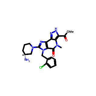 COC(=O)c1[nH]nc2c3nc(N4CCC[C@@H](N)C4)n(Cc4ccccc4Cl)c3c(=O)n(C)c12